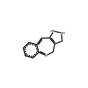 C1=c2ccccc2=NCC2=C1NNC2